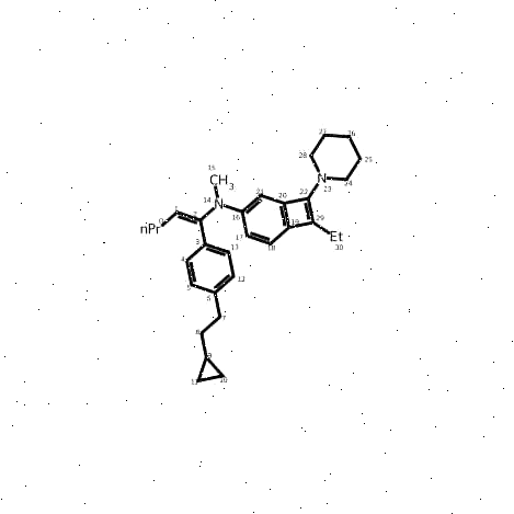 CCC/C=C(\c1ccc(CCC2CC2)cc1)N(C)c1ccc2c(c1)C(N1CCCCC1)=C2CC